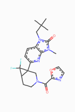 Cn1c(=O)n(CC(C)(C)C)c2ccc(C34CN(C(=O)c5ncco5)CCC3C4(F)F)nc21